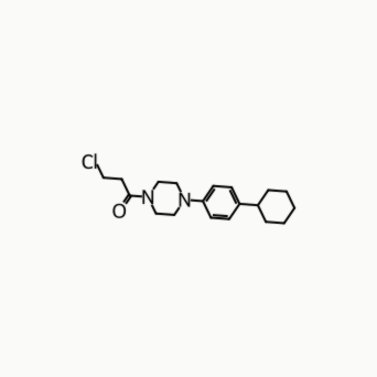 O=C(CCCl)N1CCN(c2ccc(C3CCCCC3)cc2)CC1